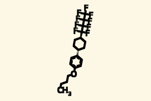 CCCCOc1ccc([C@H]2CC[C@H](C(F)(F)C(F)(F)C(F)(F)C(F)(F)F)CC2)cc1